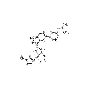 CN(C)Cc1cncc(-c2ccc3[nH]nc(-c4nc5c(-c6ccc(Cl)s6)cccc5[nH]4)c3n2)c1